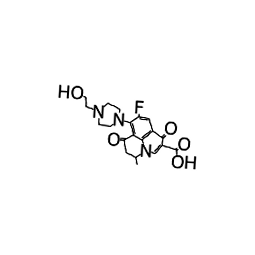 CC1CC(=O)c2c(N3CCN(CCO)CC3)c(F)cc3c(=O)c(C(=O)O)cn1c23